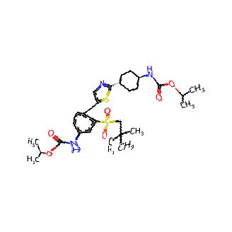 CC(C)OC(=O)Nc1ccc(-c2cnc([C@H]3CC[C@H](NC(=O)OC(C)C)CC3)s2)c(S(=O)(=O)CC(C)(C)C)c1